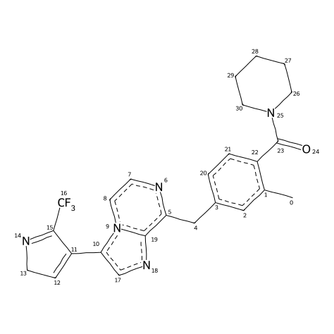 Cc1cc(Cc2nccn3c(C4=CCN=C4C(F)(F)F)cnc23)ccc1C(=O)N1CCCCC1